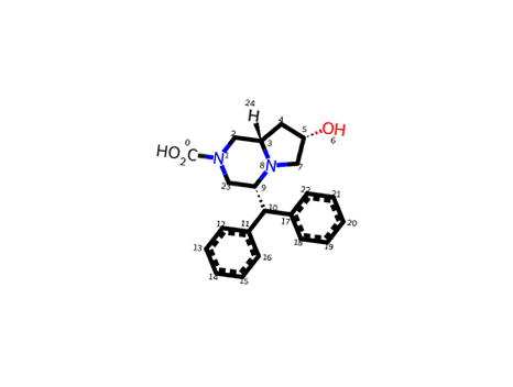 O=C(O)N1C[C@@H]2C[C@H](O)CN2[C@H](C(c2ccccc2)c2ccccc2)C1